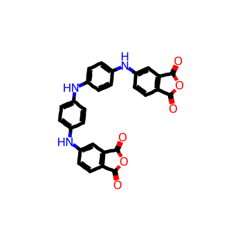 O=C1OC(=O)c2cc(Nc3ccc(Nc4ccc(Nc5ccc6c(c5)C(=O)OC6=O)cc4)cc3)ccc21